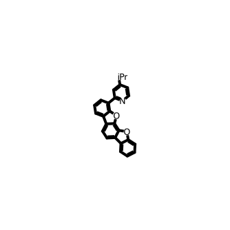 CC(C)c1ccnc(-c2cccc3c2oc2c3ccc3c4ccccc4oc32)c1